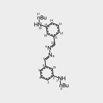 CCCCNc1cccc(C=NN=Cc2cccc(NCCCC)c2)c1